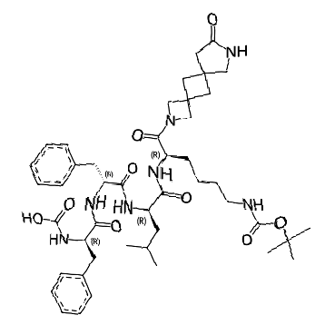 CC(C)C[C@@H](NC(=O)[C@@H](Cc1ccccc1)NC(=O)[C@@H](Cc1ccccc1)NC(=O)O)C(=O)N[C@H](CCCCNC(=O)OC(C)(C)C)C(=O)N1CC2(C1)CC1(CNC(=O)C1)C2